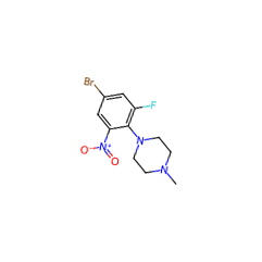 CN1CCN(c2c(F)cc(Br)cc2[N+](=O)[O-])CC1